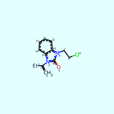 C=C(CC)n1c(=O)n(CCCl)c2ccccc21